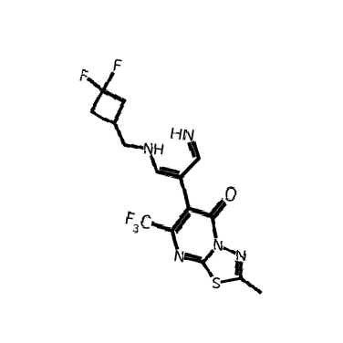 Cc1nn2c(=O)c(/C(C=N)=C/NCC3CC(F)(F)C3)c(C(F)(F)F)nc2s1